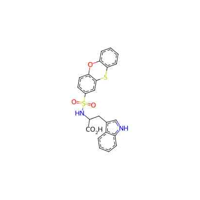 O=C(O)C(Cc1c[nH]c2ccccc12)NS(=O)(=O)c1ccc2c(c1)Sc1ccccc1O2